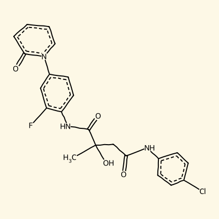 CC(O)(CC(=O)Nc1ccc(Cl)cc1)C(=O)Nc1ccc(-n2ccccc2=O)cc1F